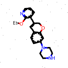 CCOc1ncccc1C1=Cc2ccc(N3CCNCC3)cc2OC1